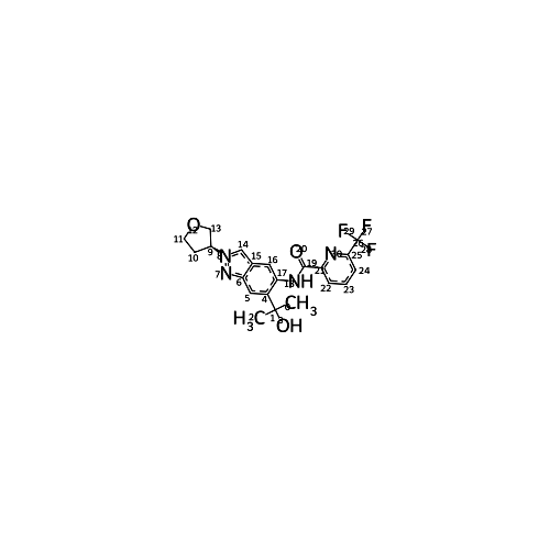 CC(C)(O)c1cc2nn([C@H]3CCOC3)cc2cc1NC(=O)c1cccc(C(F)(F)F)n1